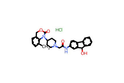 Cc1cccc2c1N(C1CCN(CC(=O)Nc3ccc4c(c3)C(O)c3ccccc3-4)CC1)C(=O)OC2.Cl